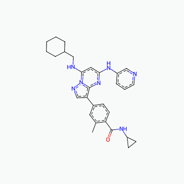 Cc1cc(-c2cnn3c(NCC4CCCCC4)cc(Nc4cccnc4)nc23)ccc1C(=O)NC1CC1